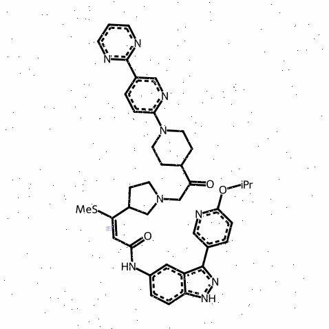 CS/C(=C/C(=O)Nc1ccc2[nH]nc(-c3ccc(OC(C)C)nc3)c2c1)C1CCN(CC(=O)C2CCN(c3ccc(-c4ncccn4)cn3)CC2)C1